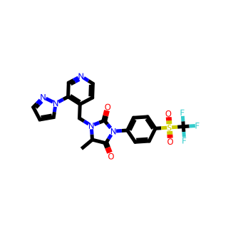 CC1C(=O)N(c2ccc(S(=O)(=O)C(F)(F)F)cc2)C(=O)N1Cc1ccncc1-n1cccn1